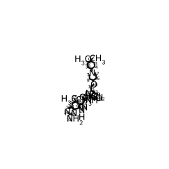 CC1(C)CCC(N2CCC(OCc3csc(NC(=O)c4n[nH]c5c4C(C)(C)Cc4cnc(N)nc4-5)n3)CC2)CC1.Cl.Cl.Cl